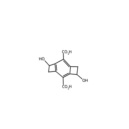 O=C(O)c1c2c(c(C(=O)O)c3c1C(O)C3)C(O)C2